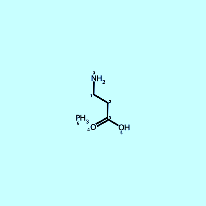 NCCC(=O)O.P